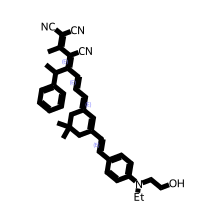 CCN(CCO)c1ccc(/C=C/C2=CC(=C/C=C/C(=C(\C#N)C(C)=C(C#N)C#N)C(C)c3ccccc3)/CC(C)(C)C2)cc1